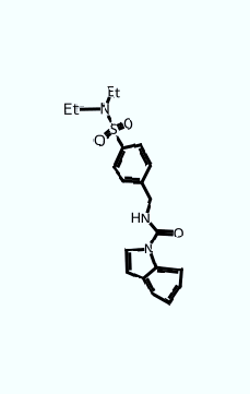 CCN(CC)S(=O)(=O)c1ccc(CNC(=O)n2ccc3ccccc32)cc1